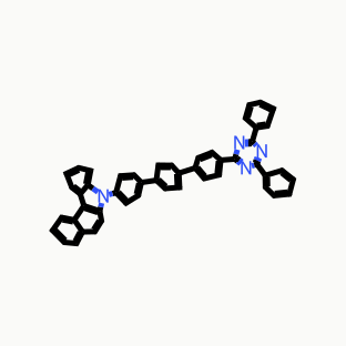 c1ccc(-c2nc(-c3ccccc3)nc(-c3ccc(-c4ccc(-c5ccc(-n6c7ccccc7c7c8ccccc8ccc76)cc5)cc4)cc3)n2)cc1